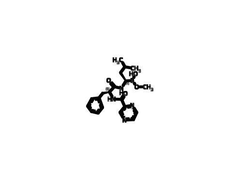 COB(O)[C@H](CC(C)C)NC(=O)[C@H](Cc1ccccc1)NC(=O)c1cnccn1